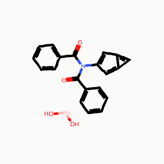 O=C(c1ccccc1)N(C(=O)c1ccccc1)c1cc2cc-2c1.OBO